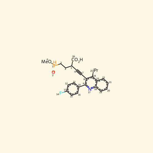 CO[PH](=O)CCC(C#Cc1c(-c2ccc(F)cc2)nc2ccccc2c1C(C)C)C(=O)O